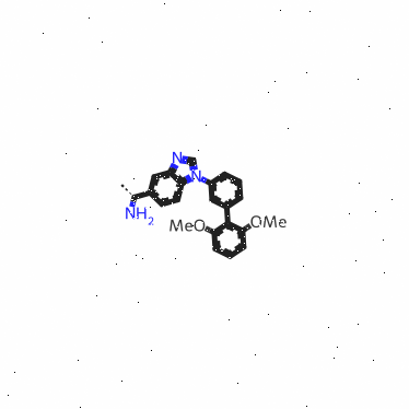 COc1cccc(OC)c1-c1cccc(-n2cnc3cc([C@@H](C)N)ccc32)c1